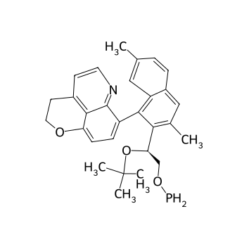 Cc1ccc2cc(C)c([C@@H](COP)OC(C)(C)C)c(-c3ccc4c5c(ccnc35)CCO4)c2c1